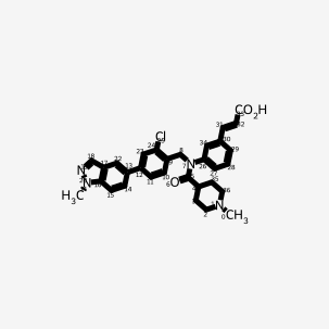 CN1CCC(C(=O)N(Cc2ccc(-c3ccc4c(cnn4C)c3)cc2Cl)c2cccc(/C=C/C(=O)O)c2)CC1